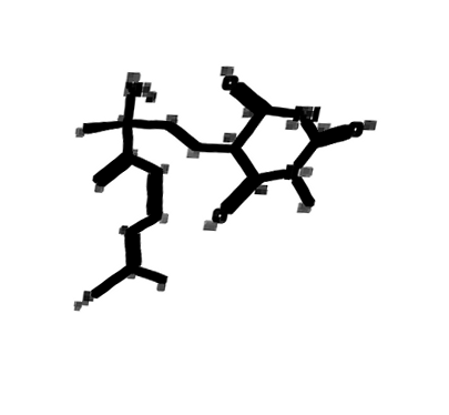 C=C(/C=C\C=C(/C)F)[C@](C)(N)CCC1C(=O)NC(=O)N(C)C1=O